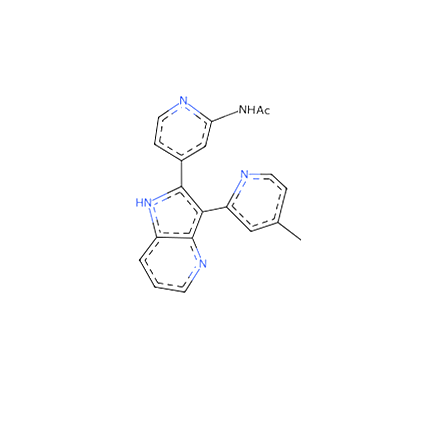 CC(=O)Nc1cc(-c2[nH]c3cccnc3c2-c2cc(C)ccn2)ccn1